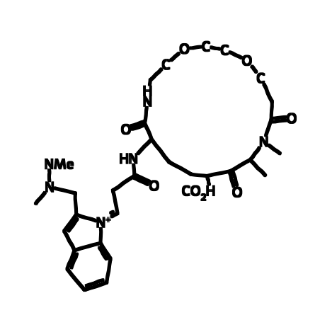 CNN(C)CC1=Cc2ccccc2[N+]1=CCC(=O)NC1CCC(C(=O)O)C(=O)C(C)N(C)C(=O)CCOCCOCCNC1=O